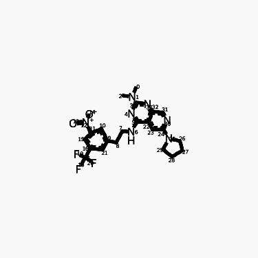 CN(C)c1nc(NCCc2cc([N+](=O)[O-])cc(C(F)(F)F)c2)c2cc(N3CCCC3)ncc2n1